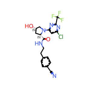 N#Cc1ccc(CCNC(=O)[C@@H]2C[C@H](O)CN2c2cc(Cl)nc(C(F)(F)F)n2)cc1